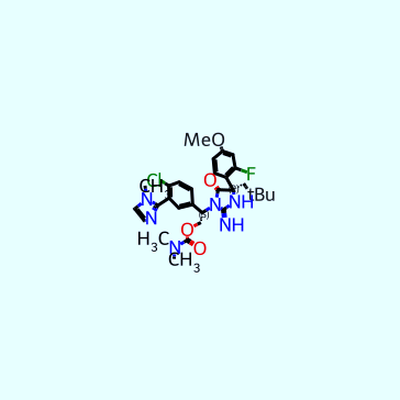 COc1ccc([C@@]2(CC(C)(C)C)NC(=N)N([C@H](COC(=O)N(C)C)c3ccc(Cl)c(-c4nccn4C)c3)C2=O)c(F)c1